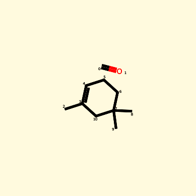 C=O.CC1=CCCC(C)(C)C1